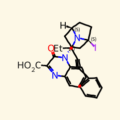 CCC(C#Cc1ccccc1)N1[C@H]2CC[C@]1(I)C[C@H](n1c(=O)c(C(=O)O)nc3ccccc31)C2